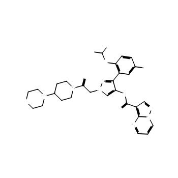 O=C(Nc1cn(CC(=O)N2CCC(N3CCOCC3)CC2)nc1-c1cc(Cl)ccc1OC(F)F)c1cnn2cccnc12